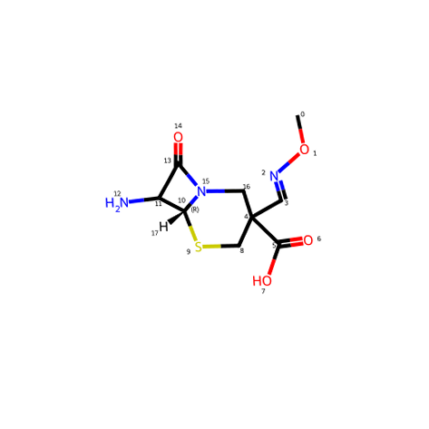 CON=CC1(C(=O)O)CS[C@@H]2C(N)C(=O)N2C1